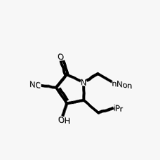 CCCCCCCCCCN1C(=O)C(C#N)=C(O)C1CC(C)C